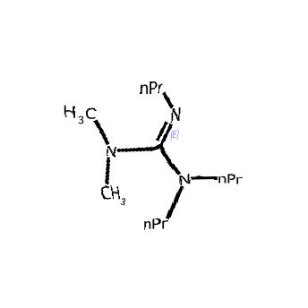 CCC/N=C(\N(C)C)N(CCC)CCC